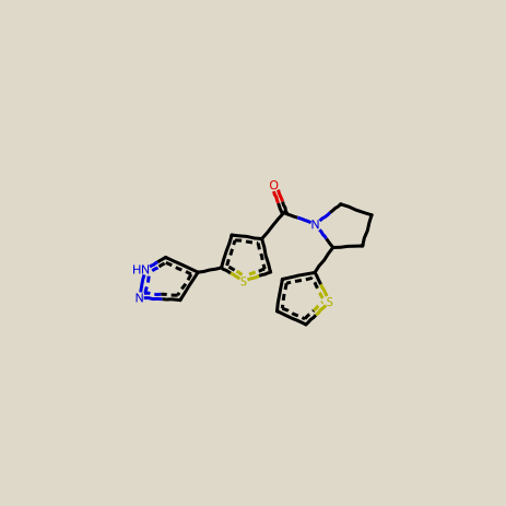 O=C(c1csc(-c2cn[nH]c2)c1)N1CCCC1c1cccs1